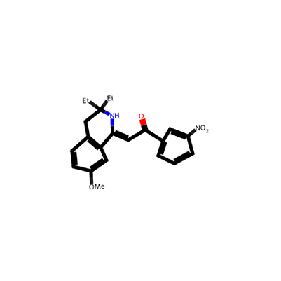 CCC1(CC)Cc2ccc(OC)cc2/C(=C/C(=O)c2cccc([N+](=O)[O-])c2)N1